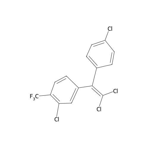 FC(F)(F)c1ccc(C(=C(Cl)Cl)c2ccc(Cl)cc2)cc1Cl